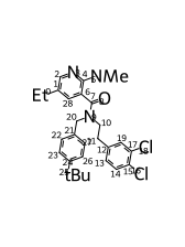 CCc1cnc(NC)c(C(=O)N(CCc2ccc(Cl)c(Cl)c2)Cc2ccc(C(C)(C)C)cc2)c1